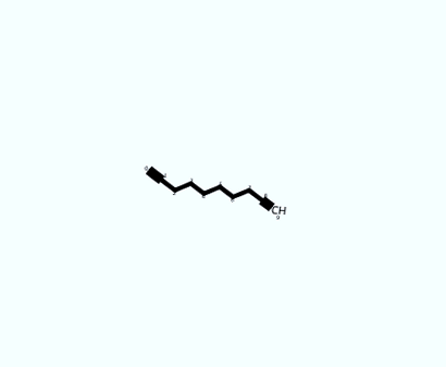 [C]#CCCCCCCC#C